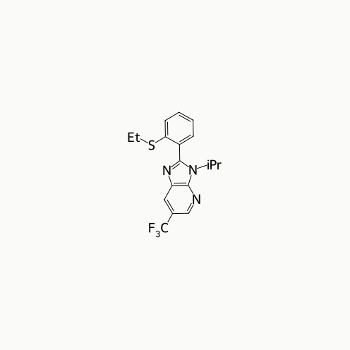 CCSc1ccccc1-c1nc2cc(C(F)(F)F)cnc2n1C(C)C